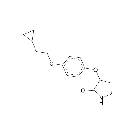 O=C1NCCC1Oc1ccc(OCCC2CC2)cc1